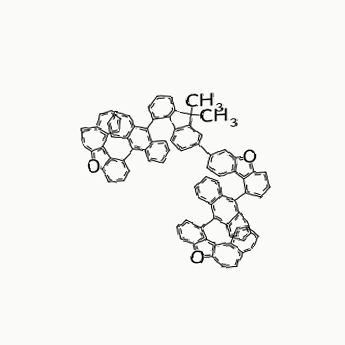 CC1(C)c2cc(-c3ccc4c(c3)oc3cccc(-c5c6ccccc6c(-c6cccc7oc8ccc9ccccc9c8c67)c6ccccc56)c34)ccc2-c2c(-c3c4ccccc4c(-c4cccc5oc6ccc7ccccc7c6c45)c4ccccc34)cccc21